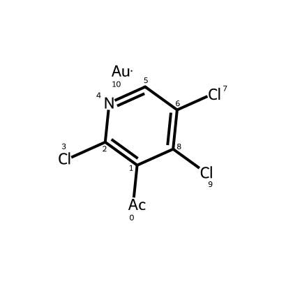 CC(=O)c1c(Cl)ncc(Cl)c1Cl.[Au]